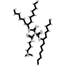 CCCCCCCC(CCCCCC)OC(=O)N(C(=O)OC(CCCCCC)CCCCCCC)C(=O)SCCCN(C)C